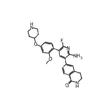 COc1cc(OC2CCNCC2)ccc1-c1cc(-c2ccc3c(c2)CCNC3=O)c(N)nc1F